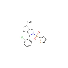 CNC1CCc2c1cn(S(=O)(=O)c1cccs1)c2-c1ccccc1F